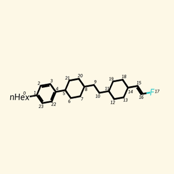 CCCCCCc1ccc(C2CCC(CCC3CCC(/C=C/F)CC3)CC2)cc1